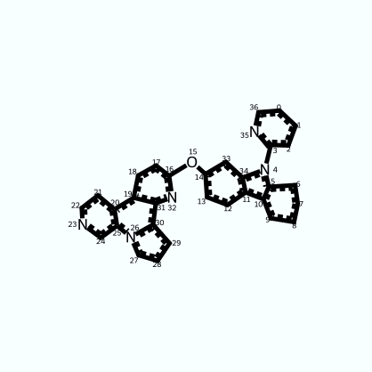 c1ccc(-n2c3ccccc3c3ccc(Oc4ccc5c6ccncc6n6cccc6c5n4)cc32)nc1